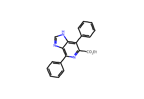 CCOC(=O)c1nc(-c2ccccc2)c2nc[nH]c2c1-c1ccccc1